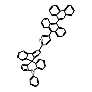 c1ccc(N2c3ccccc3C3(c4ccccc4-c4cc(-c5ccc(-c6c7ccccc7c(-c7cc8ccccc8c8ccccc78)c7ccccc67)cn5)ccc43)c3ccccc32)cc1